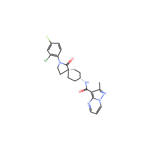 Cc1nn2cccnc2c1C(=O)N[C@H]1CC[C@@]2(CCN(c3ccc(F)cc3Cl)C2=O)CC1